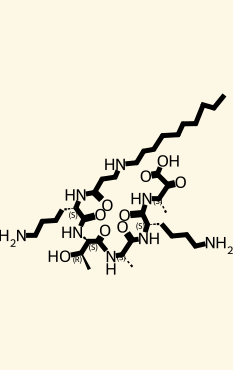 CCCCCCCCCCNCCC(=O)N[C@@H](CCCCN)C(=O)N[C@H](C(=O)N[C@@H](C)C(=O)N[C@@H](CCCCN)C(=O)N[C@@H](C)C(=O)C(=O)O)[C@@H](C)O